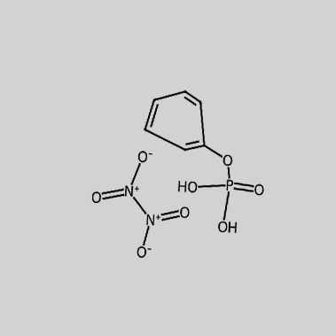 O=P(O)(O)Oc1ccccc1.O=[N+]([O-])[N+](=O)[O-]